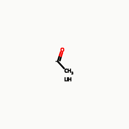 C[C]=O.[LiH]